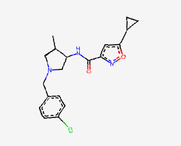 CC1CN(Cc2ccc(Cl)cc2)CC1NC(=O)c1cc(C2CC2)on1